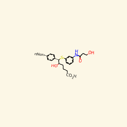 CCCCCCCCCc1ccc(C(Sc2cccc(NC(=O)CCO)c2)C(O)CCCC(=O)O)cc1